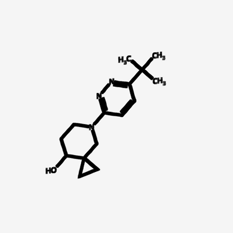 CC(C)(C)c1ccc(N2CCC(O)C3(CC3)C2)nn1